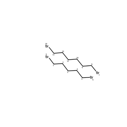 BrCCCCCBr.BrCCCCCCBr